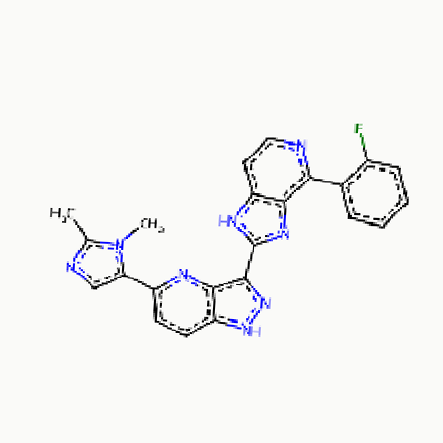 Cc1ncc(-c2ccc3[nH]nc(-c4nc5c(-c6ccccc6F)nccc5[nH]4)c3n2)n1C